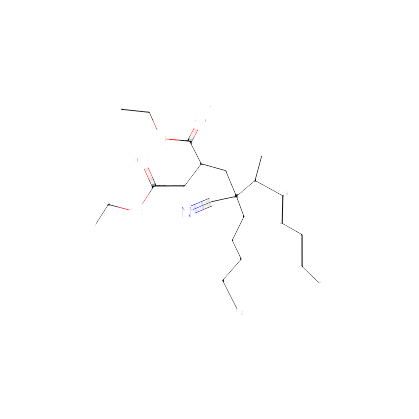 CCCCCC(C)C(C#N)(CCCCC)CC(CC(=O)OCC)C(=O)OCC